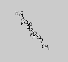 CCCCOc1ccc(-c2ccc(-c3ccc(OC(=O)c4ccc(OCCCC)c(F)c4)cc3)c(F)c2F)cc1